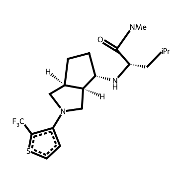 CNC(=O)[C@H](CC(C)C)N[C@H]1CC[C@@H]2CN(c3ccsc3C(F)(F)F)C[C@@H]21